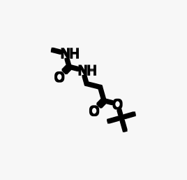 CNC(=O)NCCC(=O)OC(C)(C)C